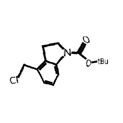 CC(C)(C)OC(=O)N1CCc2c(CCl)cccc21